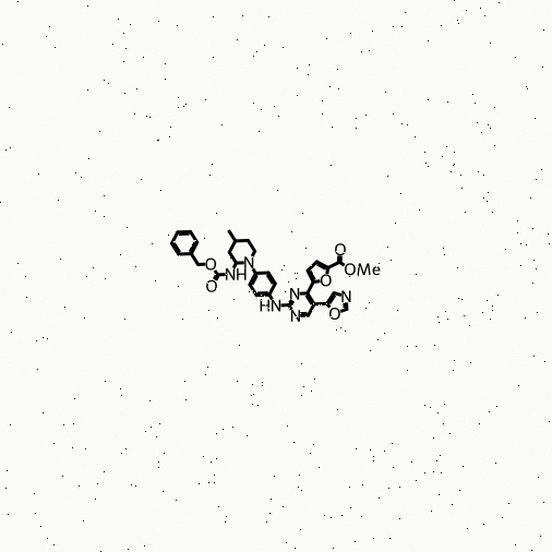 COC(=O)c1ccc(-c2nc(Nc3ccc(N4CCC(C)CC4NC(=O)OCc4ccccc4)cc3)ncc2-c2cnco2)o1